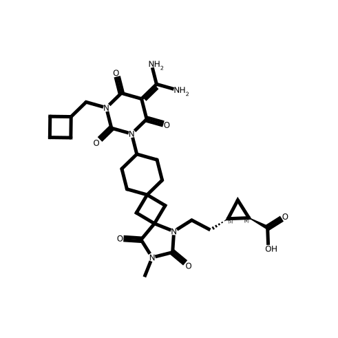 CN1C(=O)N(CC[C@@H]2C[C@H]2C(=O)O)C2(CC3(CCC(N4C(=O)C(=C(N)N)C(=O)N(CC5CCC5)C4=O)CC3)C2)C1=O